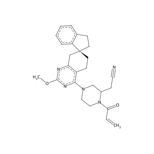 C=CC(=O)N1CCN(c2nc(OC)nc3c2CC[C@@]2(CCc4ccccc42)C3)CC1CC#N